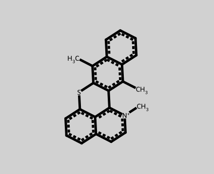 Cc1c2c(c(C)c3ccccc13)-c1c3c(cccc3cc[n+]1C)S2